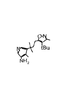 Cc1noc(CCC(C)(C)c2cncc(N)c2C)c1C(C)(C)C